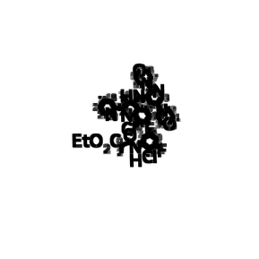 CCOC(=O)C(C)C(=O)Nc1cccc(F)c1Cl.Cc1c(-c2ccccn2)nc2c(Cl)c(F)ccc2c1Nc1cc(N2CCOCC2)cnc1N1CCOCC1